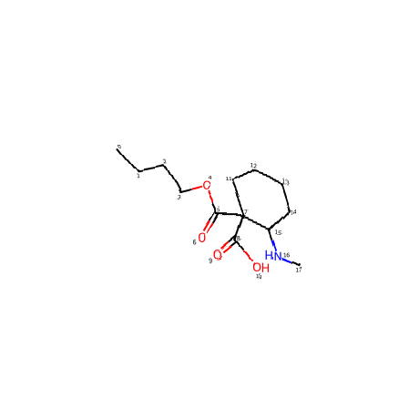 CCCCOC(=O)C1(C(=O)O)CCCCC1NC